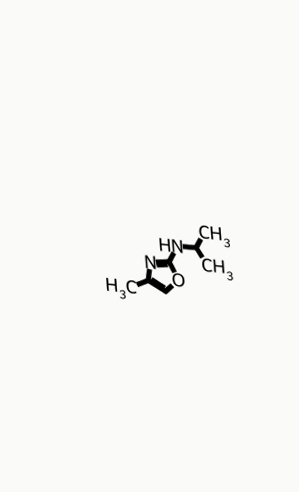 Cc1coc(NC(C)C)n1